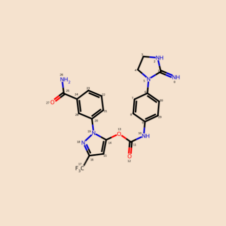 N=C1NCCN1c1ccc(NC(=O)Oc2cc(C(F)(F)F)nn2-c2cccc(C(N)=O)c2)cc1